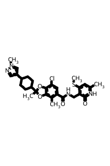 CSc1cc(C)[nH]c(=O)c1CNC(=O)c1cc(Cl)c2c(c1C)OC(C)(C1CCC(c3cnn(C)c3)CC1)O2